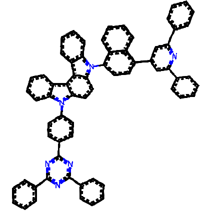 c1ccc(-c2cc(-c3ccc(-n4c5ccccc5c5c6c7ccccc7n(-c7ccc(-c8nc(-c9ccccc9)nc(-c9ccccc9)n8)cc7)c6ccc54)c4ccccc34)cc(-c3ccccc3)n2)cc1